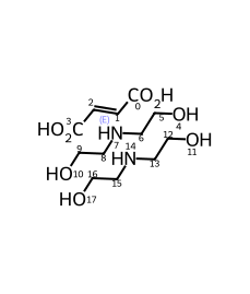 O=C(O)/C=C/C(=O)O.OCCNCCO.OCCNCCO